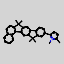 Cc1ccc(-c2ccc3c(c2)C(C)(C)c2cc4c(cc2-3)C(C)(C)c2ccc3ccccc3c2-4)n1C